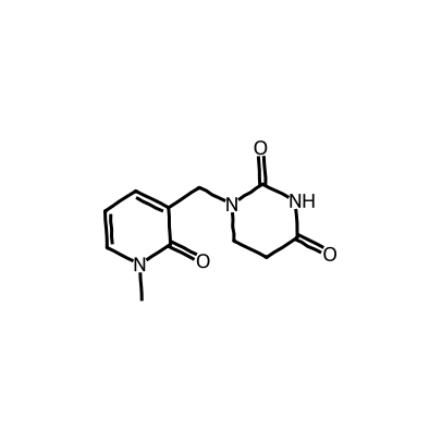 Cn1cccc(CN2CCC(=O)NC2=O)c1=O